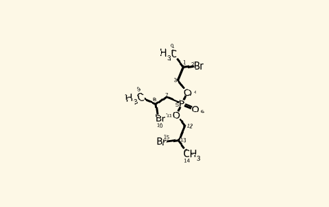 CC(Br)COP(=O)(CC(C)Br)OCC(C)Br